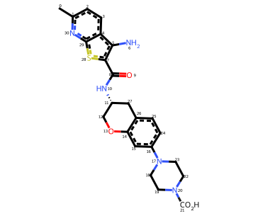 Cc1ccc2c(N)c(C(=O)N[C@H]3COc4cc(N5CCN(C(=O)O)CC5)ccc4C3)sc2n1